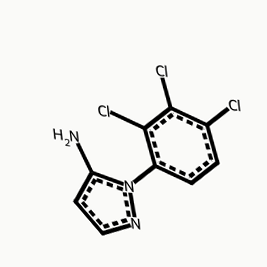 Nc1ccnn1-c1ccc(Cl)c(Cl)c1Cl